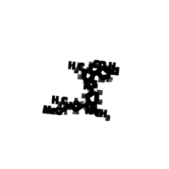 COCC(C)N1CC(c2nn(C)c3ccc(-c4nc5cc(C)c(CC(=O)O)c(-c6ccc(Cl)cc6)c5s4)cc23)C1